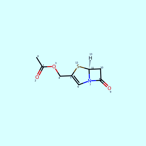 CC(=O)OCC1=CN2C(=O)C[C@@H]2S1